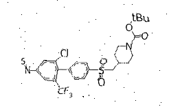 CC(C)(C)OC(=O)N1CCC(CS(=O)(=O)c2ccc(-c3c(Cl)cc(N=S)cc3C(F)(F)F)cc2)CC1